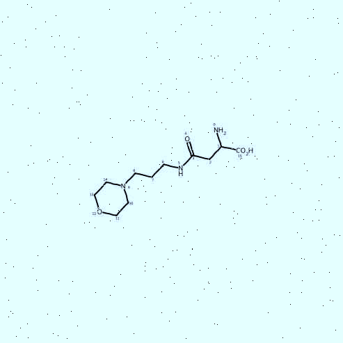 NC(CC(=O)NCCCN1CCOCC1)C(=O)O